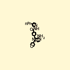 CCCc1ccnc(NC(=O)C2=CCC(c3nc(C4CCOCC4)n4ccnc(N)c34)C=C2)c1